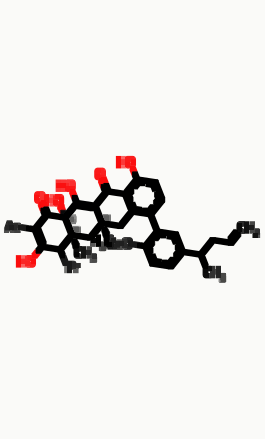 C=CCC(C)c1ccc(OC)c(-c2ccc(O)c3c2C[C@]2(C)C[C@]4(C)C(C(C)C)C(O)=C(C(C)=O)C(=O)[C@]4(O)C(O)=C2C3=O)c1